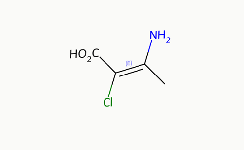 C/C(N)=C(\Cl)C(=O)O